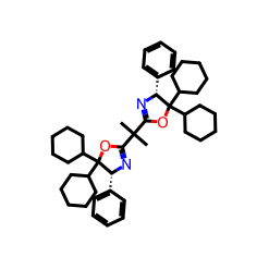 CC(C)(C1=N[C@H](c2ccccc2)C(C2CCCCC2)(C2CCCCC2)O1)C1=N[C@H](c2ccccc2)C(C2CCCCC2)(C2CCCCC2)O1